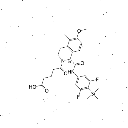 COc1ccc2c(c1C)CCN(C(=O)CCCC(=O)O)[C@H]2C(=O)Nc1cc(F)c([Si](C)(C)C)c(F)c1